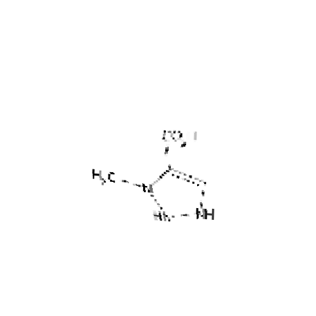 CN1NNC=C1C(=O)O